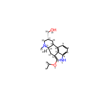 CC(C)Oc1[nH]c2cccc3c2c1C[C@@H]1C3C[C@@H](CO)CN1C